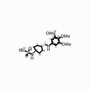 COc1cc(NC[C@H]2CC[C@H](NS(=O)(=O)C(C)(C)C)CC2)cc(OC)c1OC